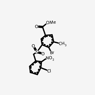 COC(=O)c1cc(C)c(Br)c(S(=O)(=O)Cc2cccc(Cl)c2[N+](=O)[O-])c1